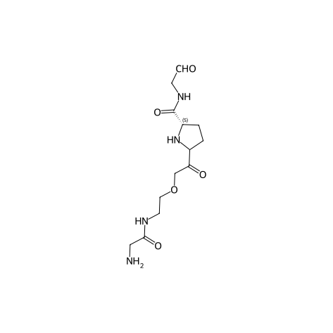 NCC(=O)NCCOCC(=O)C1CC[C@@H](C(=O)NCC=O)N1